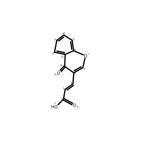 O=C(O)C=Cc1coc2ccccc2c1=O